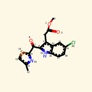 COC(=O)Cc1c(C(=O)c2nc(C)cs2)[nH]c2ccc(Cl)cc12